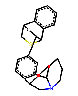 c1ccc2c(c1)C1CSC2C(c2ccc3c(c2)C2CC4CCCCC3CN2CC4)C1